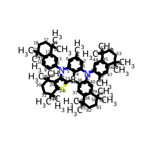 Cc1cc2c3c(c1)N(c1ccc4c(c1)C(C)(C)CCC4(C)C)c1c(sc4c1C(C)(C)CCC4(C)C)B3c1cc3c(cc1N2c1cc2c(cc1C)C(C)(C)CCC2(C)C)C(C)(C)CCC3(C)C